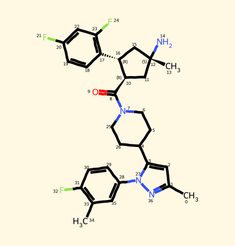 Cc1cc(C2CCN(C(=O)[C@@H]3C[C@@](C)(N)C[C@H]3c3ccc(F)cc3F)CC2)n(-c2ccc(F)c(C)c2)n1